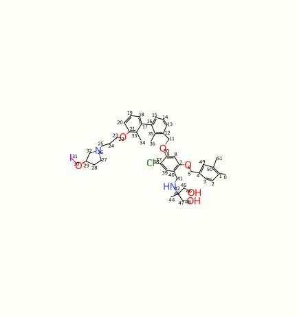 Cc1ccc(COc2cc(OCc3cccc(-c4cccc(OCCCN5CC[C@@H](OI)C5)c4C)c3C)c(Cl)cc2CNC(C)(CO)CO)cc1C